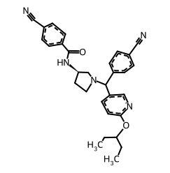 CCC(CC)Oc1ccc(C(c2ccc(C#N)cc2)N2CC[C@@H](NC(=O)c3ccc(C#N)cc3)C2)cn1